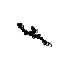 C=CC(=O)OCCOCCOCCOC(=O)C1CCC(C(=O)Oc2ccc(OC(=O)C3CCC(C(=O)OCCOCCOCCOC(=O)C=C)CC3)c(/C=N/Nc3nc4ccccc4s3)c2)CC1